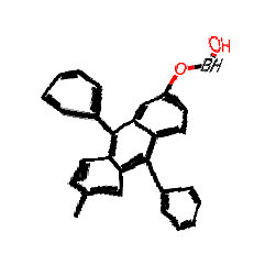 Cc1ccc2c(-c3ccccc3)c3cc(OBO)ccc3c(-c3ccccc3)c2c1